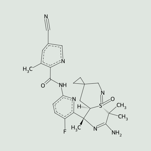 Cc1cc(C#N)cnc1C(=O)Nc1ccc(F)c([C@@]2(C)N=C(N)C(C)(C)[S@@]3(=O)=NCC4(CC4)C[C@H]23)n1